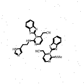 CNC1=NC=CC(CC#N)N1c1nc2ccccc2s1.N#CCC1C=CN=C(NCCc2cnc[nH]2)N1c1nc2ccccc2s1